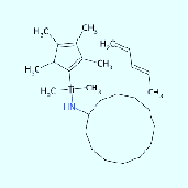 C=CC=CC.CC1=C(C)C(C)[C]([Ti]([CH3])([CH3])[NH]C2CCCCCCCCCCC2)=C1C